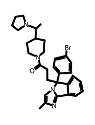 Cc1cn2c(n1)-c1ccccc1C2(CCC(=O)N1CCC(C(C)N2CCCC2)CC1)c1ccc(Br)cc1